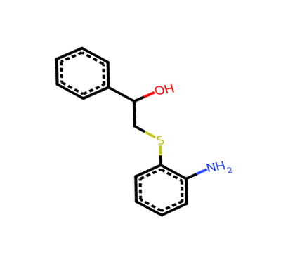 Nc1ccccc1SCC(O)c1ccccc1